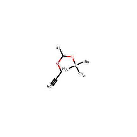 C#CCOC(CC)O[Si](C)(C)C(C)(C)C